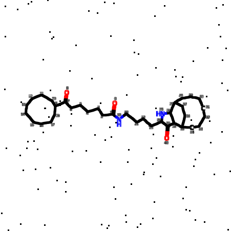 O=C(CCCCCC(=O)C1CCCCCCCCC1)NCCCCC1NC2C3CCCCCCCC(CC3)C2C1=O